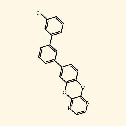 Clc1cccc(-c2cccc(-c3ccc4c(c3)Oc3nccnc3O4)c2)c1